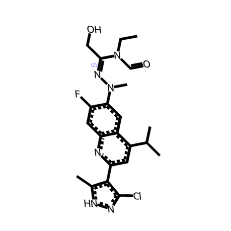 CCN(C=O)/C(CO)=N\N(C)c1cc2c(C(C)C)cc(-c3c(Cl)n[nH]c3C)nc2cc1F